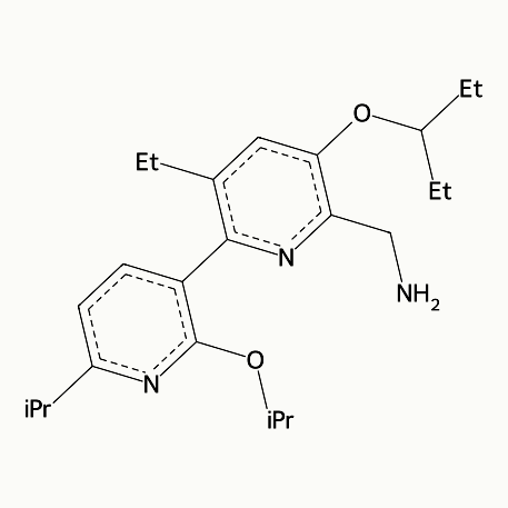 CCc1cc(OC(CC)CC)c(CN)nc1-c1ccc(C(C)C)nc1OC(C)C